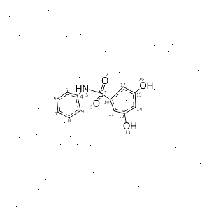 O=S(=O)(Nc1ccccc1)c1cc(O)cc(O)c1